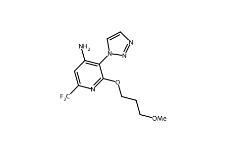 COCCCOc1nc(C(F)(F)F)cc(N)c1-n1ccnn1